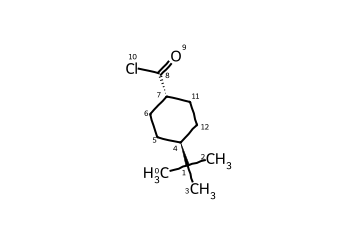 CC(C)(C)[C@H]1CC[C@H](C(=O)Cl)CC1